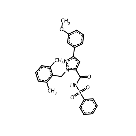 COc1cccc(-c2cc(C(=O)NS(=O)(=O)c3ccccc3)n(Cc3c(C)cccc3C)n2)c1